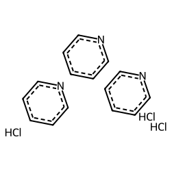 Cl.Cl.Cl.c1ccncc1.c1ccncc1.c1ccncc1